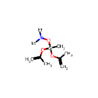 C=C(C)O[Si](C)(OC(=C)C)ON(CC)CC